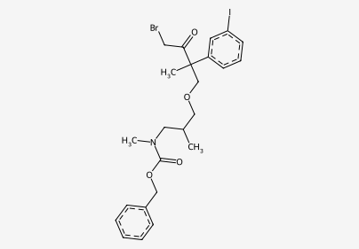 CC(COCC(C)(C(=O)CBr)c1cccc(I)c1)CN(C)C(=O)OCc1ccccc1